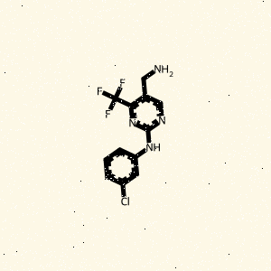 NCc1cnc(Nc2cccc(Cl)c2)nc1C(F)(F)F